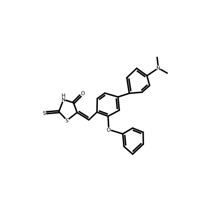 CN(C)c1ccc(-c2ccc(C=C3SC(=S)NC3=O)c(Oc3ccccc3)c2)cc1